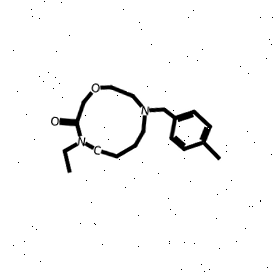 CCN1CCCCN(Cc2ccc(C)cc2)CCOCC1=O